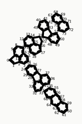 C1=Cc2cccc3cccc1c23.c1cc2c3c(cccc3c1)CC2.c1ccc2c(c1)-c1cccc3cccc-2c13.c1ccc2c(c1)Cc1ccccc1-2.c1ccc2cc3ccccc3cc2c1.c1ccc2ccccc2c1